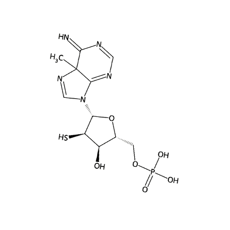 CC12N=CN([C@@H]3O[C@H](COP(=O)(O)O)[C@@H](O)[C@H]3S)C1=NC=NC2=N